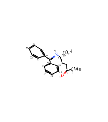 COC(=O)CC[C@H](N=C(c1ccccc1)c1ccccc1)C(=O)O